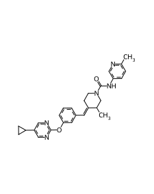 Cc1ccc(NC(=O)N2CCC(=Cc3cccc(Oc4ncc(C5CC5)cn4)c3)C(C)C2)cn1